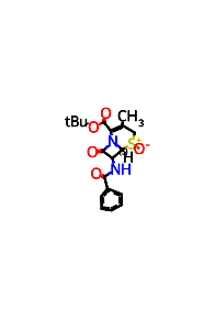 CC1=C(C(=O)OC(C)(C)C)N2C(=O)C(NC(=O)c3ccccc3)[C@@H]2[S+]([O-])C1